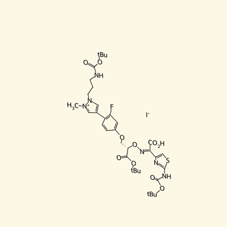 C[n+]1cc(-c2ccc(OC[C@H](O/N=C(\C(=O)O)c3csc(NC(=O)OC(C)(C)C)n3)C(=O)OC(C)(C)C)cc2F)cn1CCCNC(=O)OC(C)(C)C.[I-]